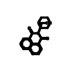 O=C1c2cccc3cccc(c23)C(=O)N1C1CN2CCC1CC2